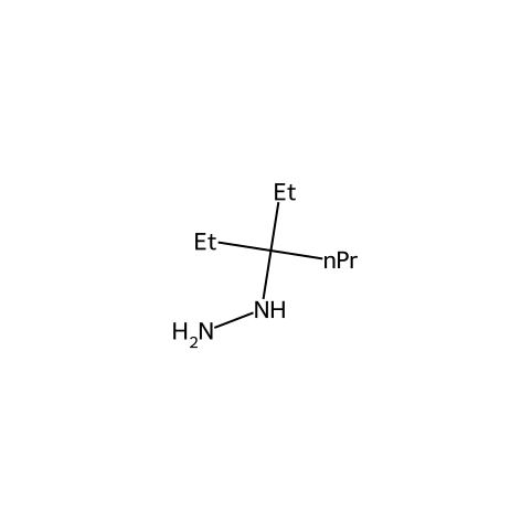 CCCC(CC)(CC)NN